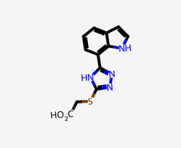 O=C(O)CSc1nnc(-c2cccc3cc[nH]c23)[nH]1